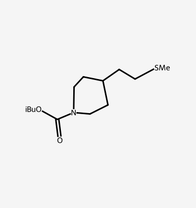 CSCCC1CCN(C(=O)OCC(C)C)CC1